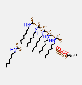 CCCCCCCNC(=S)[S-].CCCCCCCNC(=S)[S-].CCCCCCCNC(=S)[S-].CCCCCCCNC(=S)[S-].CCCCCCCNC(=S)[S-].CCCCCCCNC(=S)[S-].O=S.O=S.O=S.O=S.O=S.O=S.[Mo+6]